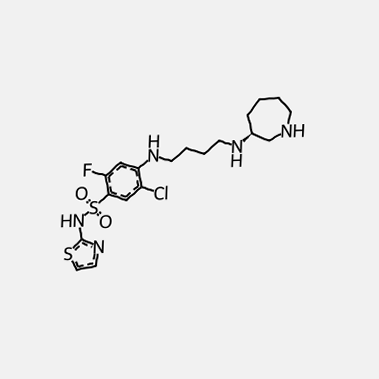 O=S(=O)(Nc1nccs1)c1cc(Cl)c(NCCCCN[C@H]2CCCCNC2)cc1F